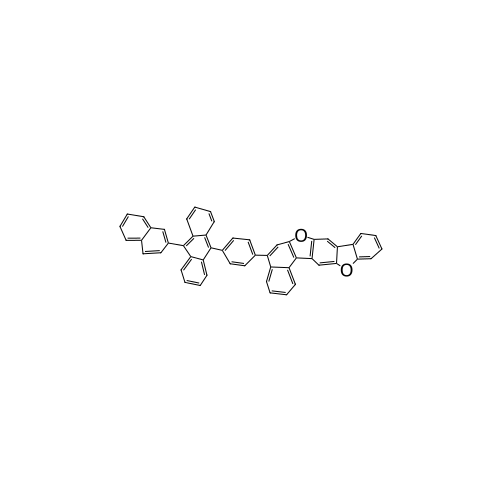 c1ccc2cc(-c3c4ccccc4c(-c4ccc(-c5cc6oc7cc8c(cc7c6c6ccccc56)oc5ccccc58)cc4)c4ccccc34)ccc2c1